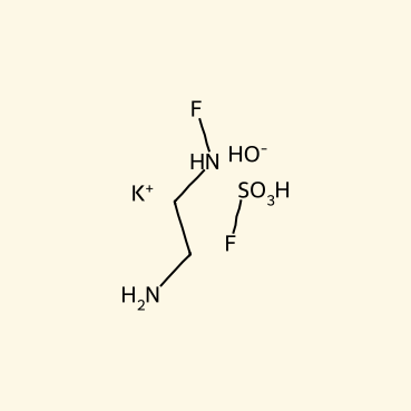 NCCNF.O=S(=O)(O)F.[K+].[OH-]